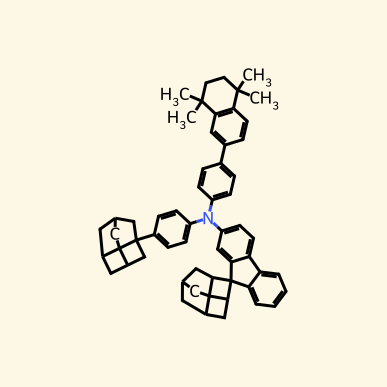 CC1(C)CCC(C)(C)c2cc(-c3ccc(N(c4ccc(C56CC7CC8CC(C5)C86C7)cc4)c4ccc5c(c4)C4(c6ccccc6-5)C5CC6CC7CC4C75C6)cc3)ccc21